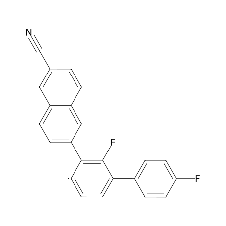 N#Cc1ccc2cc(-c3[c]ccc(-c4ccc(F)cc4)c3F)ccc2c1